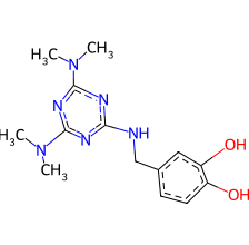 CN(C)c1nc(NCc2ccc(O)c(O)c2)nc(N(C)C)n1